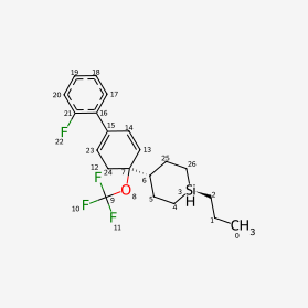 CCC[Si@H]1CC[C@H](C2(OC(F)(F)F)C=CC(c3ccccc3F)=CC2)CC1